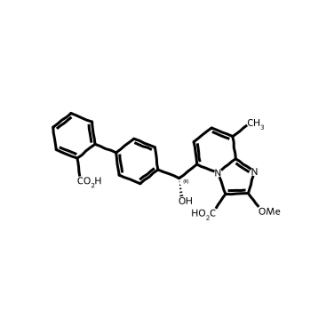 COc1nc2c(C)ccc([C@H](O)c3ccc(-c4ccccc4C(=O)O)cc3)n2c1C(=O)O